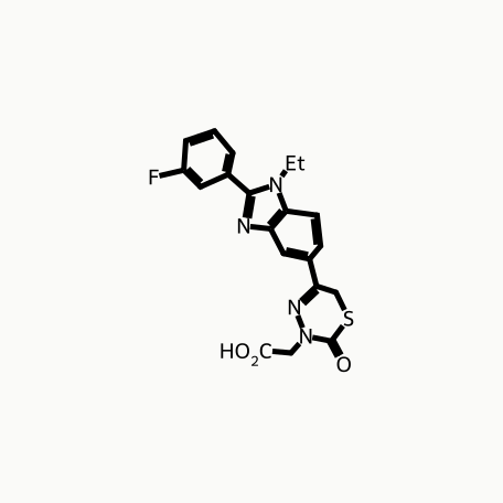 CCn1c(-c2cccc(F)c2)nc2cc(C3=NN(CC(=O)O)C(=O)SC3)ccc21